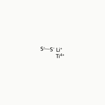 [Li+].[S-][S-].[Ti+4]